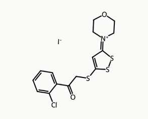 O=C(CSc1cc(=[N+]2CCOCC2)ss1)c1ccccc1Cl.[I-]